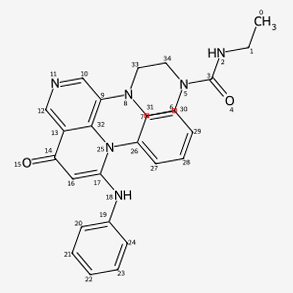 CCNC(=O)N1CCN(c2cncc3c(=O)cc(Nc4ccccc4)n(-c4ccccc4)c23)CC1